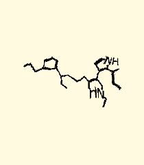 C=CNC/C(=C(\C)CCCC(CC)c1cccc(CCC)c1)c1cc[nH]c1C(C)CC